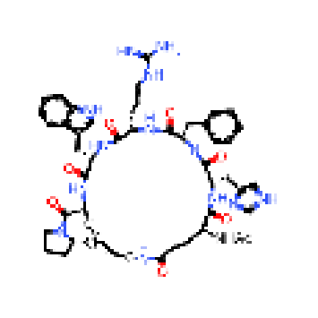 CC(=O)N[C@H]1CCC(=O)NCCCC[C@@H](C(=O)N2CCC[C@H]2C)NC(=O)[C@H](Cc2c[nH]c3ccccc23)NC(=O)[C@H](CCCNC(=N)N)NC(=O)[C@@H](Cc2ccccc2)NC(=O)[C@H](Cc2c[nH]cn2)NC1=O